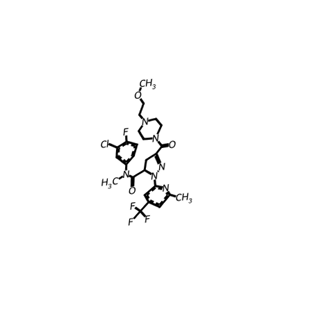 COCCN1CCN(C(=O)C2=NN(c3cc(C(F)(F)F)cc(C)n3)C(C(=O)N(C)c3ccc(F)c(Cl)c3)C2)CC1